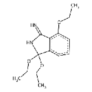 CCOc1cccc2c1C(=N)NC2(OCC)OCC